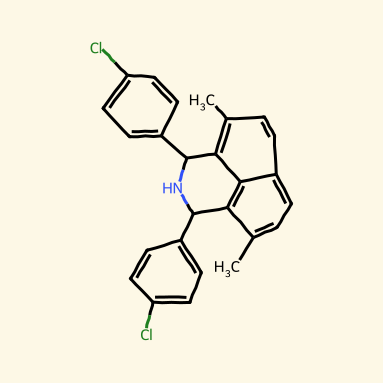 Cc1ccc2ccc(C)c3c2c1C(c1ccc(Cl)cc1)NC3c1ccc(Cl)cc1